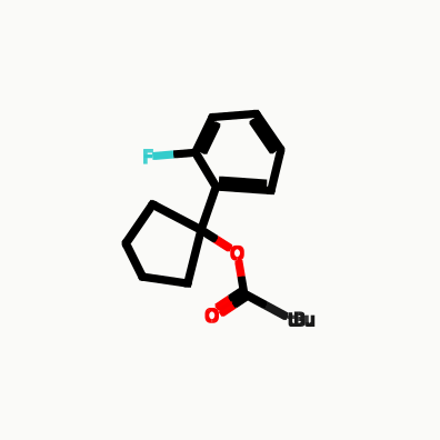 CC(C)(C)C(=O)OC1(c2ccccc2F)CCCC1